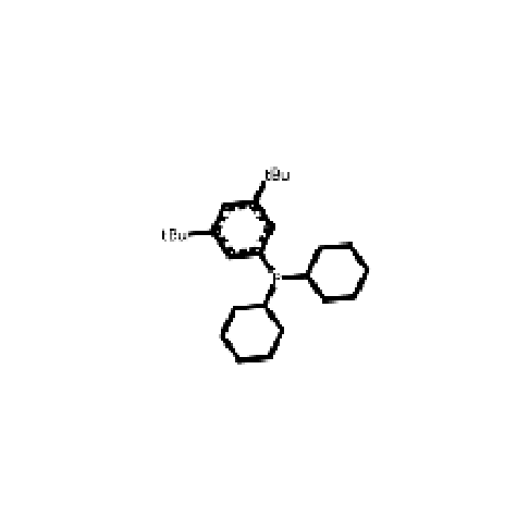 CC(C)(C)c1cc(P(C2CCCCC2)C2CCCCC2)cc(C(C)(C)C)c1